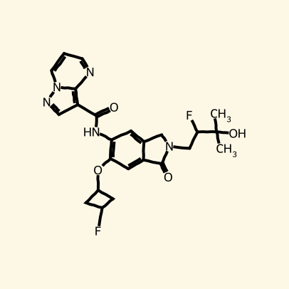 CC(C)(O)C(F)CN1Cc2cc(NC(=O)c3cnn4cccnc34)c(OC3CC(F)C3)cc2C1=O